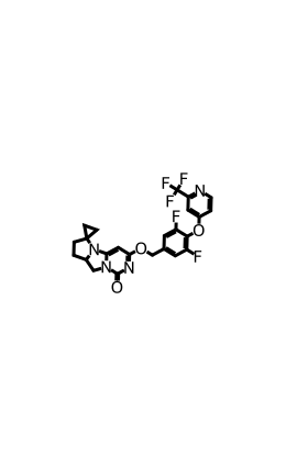 O=c1nc(OCc2cc(F)c(Oc3ccnc(C(F)(F)F)c3)c(F)c2)cc2n1CC1CCC3(CC3)N21